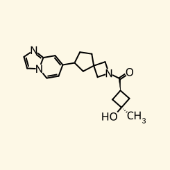 C[C@]1(O)C[C@@H](C(=O)N2CC3(CCC(c4ccn5ccnc5c4)C3)C2)C1